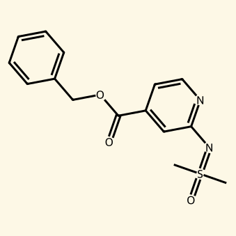 CS(C)(=O)=Nc1cc(C(=O)OCc2ccccc2)ccn1